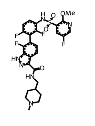 COc1ncc(F)cc1S(=O)(=O)Nc1ccc(F)c(-c2ccc3c(C(=O)NCC4CCN(C)CC4)n[nH]c3c2F)c1F